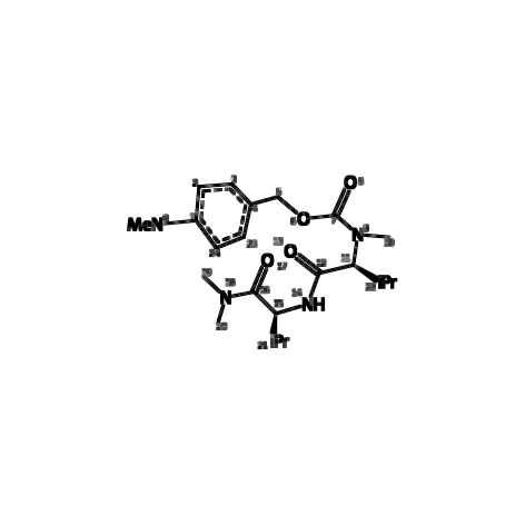 CNc1ccc(COC(=O)N(C)[C@H](C(=O)N[C@H](C(=O)N(C)C)C(C)C)C(C)C)cc1